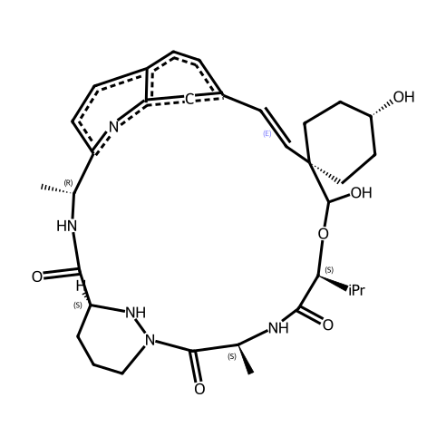 CC(C)[C@@H]1OC(O)[C@]2(/C=C/c3ccc4ccc(nc4c3)[C@@H](C)NC(=O)[C@@H]3CCCN(N3)C(=O)[C@H](C)NC1=O)CC[C@@H](O)CC2